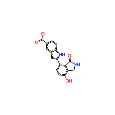 O=C(O)c1ccc2[nH]c(-c3ccc(O)c4c3C(=O)NC4)cc2c1